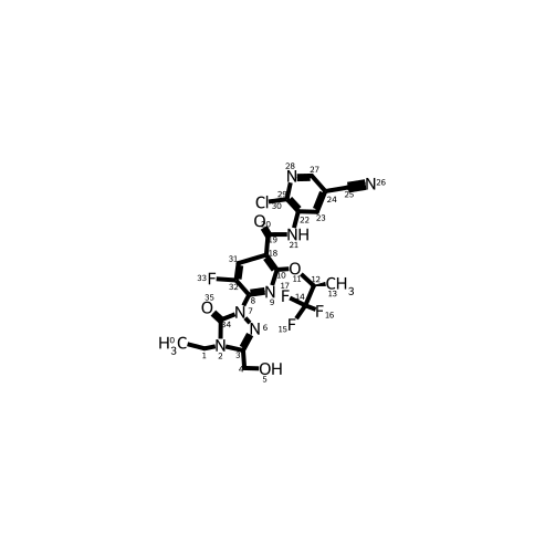 CCn1c(CO)nn(-c2nc(O[C@@H](C)C(F)(F)F)c(C(=O)Nc3cc(C#N)cnc3Cl)cc2F)c1=O